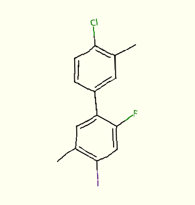 Cc1cc(-c2cc(C)c(I)cc2F)ccc1Cl